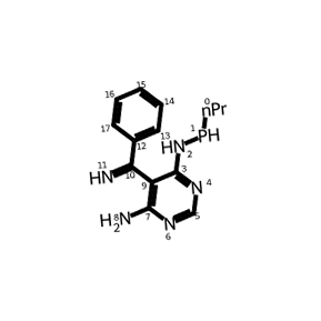 CCCPNc1ncnc(N)c1C(=N)c1ccccc1